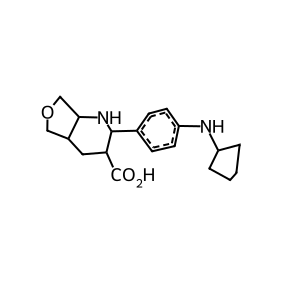 O=C(O)C1CC2COCC2NC1c1ccc(NC2CCCC2)cc1